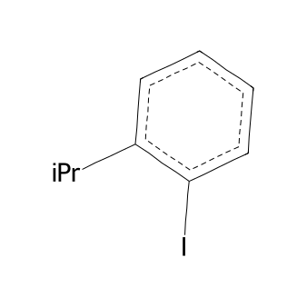 [CH2]C(C)c1ccccc1I